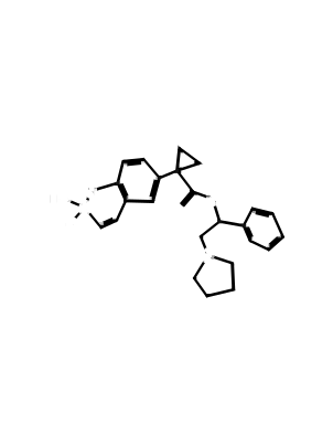 O=C(NC(CN1CCCC1)c1ccccc1)C1(c2ccc3c(c2)C=CS(O)(O)N3)CC1